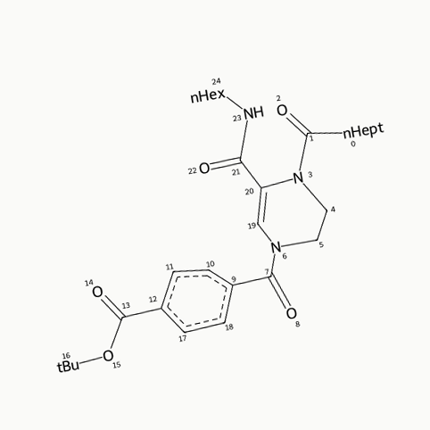 CCCCCCCC(=O)N1CCN(C(=O)c2ccc(C(=O)OC(C)(C)C)cc2)C=C1C(=O)NCCCCCC